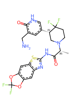 C[C@H](C(=O)Nc1nc2cc3c(cc2s1)OC(F)(F)O3)N1CCC(F)(F)[C@@H](c2c[nH]c(=O)c(CN)c2)C1